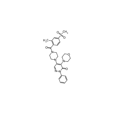 Cc1cc(S(C)(=O)=O)ccc1C(=O)N1CCN(c2cnn(-c3ccccc3)c(=O)c2N2CCOCC2)CC1